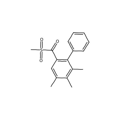 Cc1cc(C(=O)S(C)(=O)=O)c(-c2ccccc2)c(C)c1C